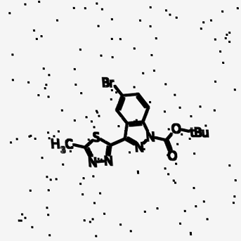 Cc1nnc(-c2nn(C(=O)OC(C)(C)C)c3ccc(Br)cc23)s1